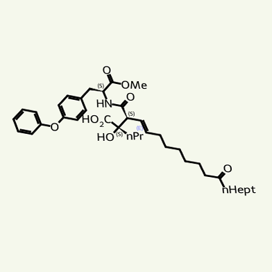 CCCCCCCC(=O)CCCCCC/C=C/[C@H](C(=O)N[C@@H](Cc1ccc(Oc2ccccc2)cc1)C(=O)OC)[C@@](O)(CCC)C(=O)O